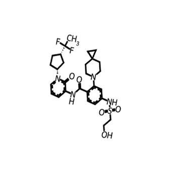 CC(F)(F)[C@H]1CC[C@@H](n2cccc(NC(=O)c3ccc(NS(=O)(=O)CCO)cc3N3CCC4(CC3)CC4)c2=O)C1